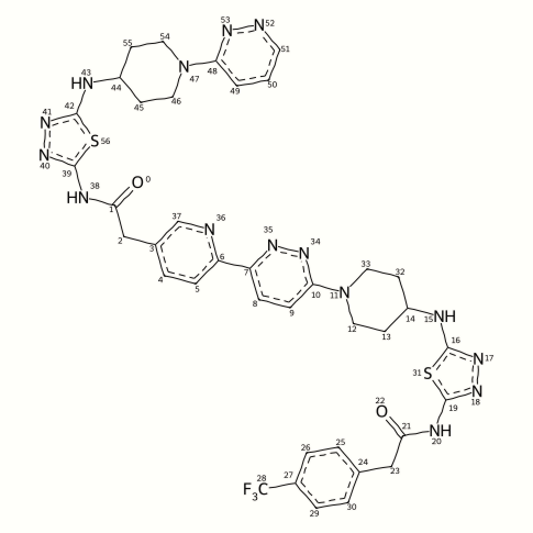 O=C(Cc1ccc(-c2ccc(N3CCC(Nc4nnc(NC(=O)Cc5ccc(C(F)(F)F)cc5)s4)CC3)nn2)nc1)Nc1nnc(NC2CCN(c3cccnn3)CC2)s1